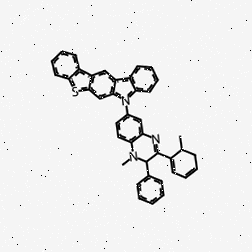 CC1CC=CC=C1C1=Nc2cc(-n3c4ccccc4c4cc5c(cc43)sc3ccccc35)ccc2N(C)C1c1ccccc1